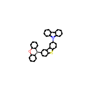 c1ccc2c(c1)Oc1ccccc1B2c1ccc2sc3ccc(-n4c5ccccc5c5ccccc54)cc3c2c1